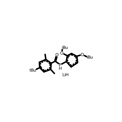 CCC(C)Oc1ccc(PC(=O)c2c(C)cc(C(C)(C)C)cc2C)c(OC(C)CC)c1.[LiH]